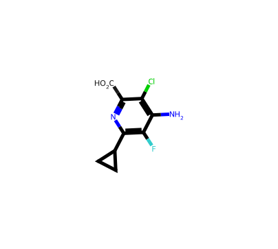 Nc1c(F)c(C2CC2)nc(C(=O)O)c1Cl